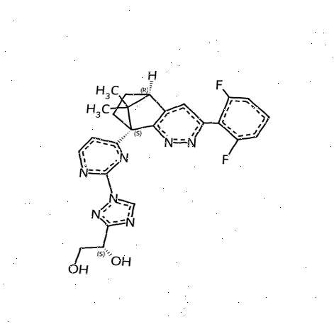 CC1(C)[C@H]2CC[C@]1(c1ccnc(-n3cnc([C@H](O)CO)n3)n1)c1nnc(-c3c(F)cccc3F)cc12